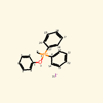 C[P+](Oc1ccccc1)(c1ccccc1)c1ccccc1.[I-]